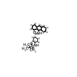 CC(C)(C)S(=O)(=O)N[C@H]1CC[C@H](C(=O)Nc2c3ccccc3cc3ccccc23)CC1